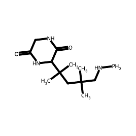 CC(C)(CNP)CC(C)(C)C1NC(=O)CNC1=O